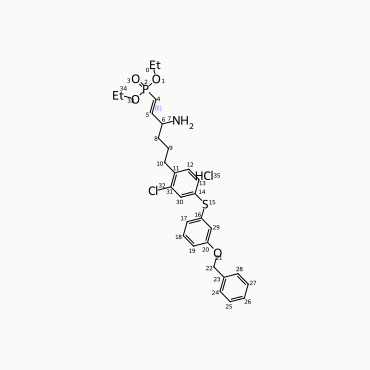 CCOP(=O)(/C=C/C(N)CCCc1ccc(Sc2cccc(OCc3ccccc3)c2)cc1Cl)OCC.Cl